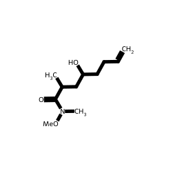 C=CCCC(O)CC(C)C(=O)N(C)OC